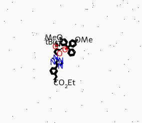 CCOC(=O)CCc1cccc(-c2ncnc3c2ncn3[C@H]2C[C@H](O[Si](C)(C)C(C)(C)C)[C@@H](COC(c3ccccc3)(c3ccc(OC)cc3)c3ccc(OC)cc3)O2)c1